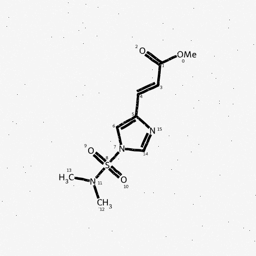 COC(=O)C=Cc1cn(S(=O)(=O)N(C)C)cn1